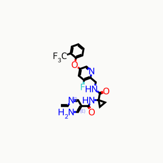 C=C/N=C\C(=C/N)C(=O)NC1(C(=O)NCc2ncc(Oc3ccccc3C(F)(F)F)cc2F)CC1